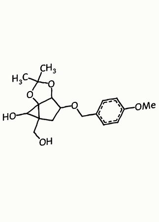 COc1ccc(COC2CC3(CO)C(O)C34OC(C)(C)OC24)cc1